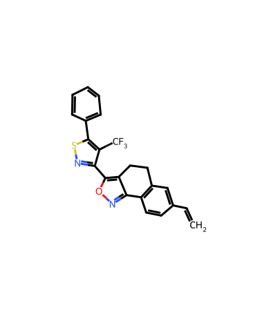 C=Cc1ccc2c(c1)CCc1c-2noc1-c1nsc(-c2ccccc2)c1C(F)(F)F